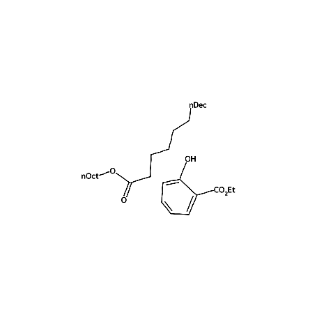 CCCCCCCCCCCCCCCC(=O)OCCCCCCCC.CCOC(=O)c1ccccc1O